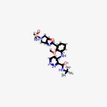 [2H]C([2H])([2H])NC(=O)c1nnccc1Nc1cccc(-c2nc3c(o2)CN(S(C)(=N)=O)C3)c1OC